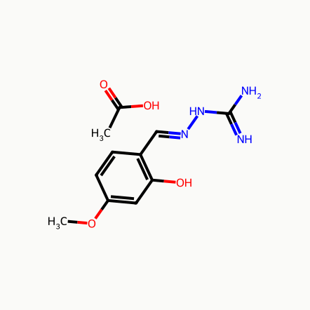 CC(=O)O.COc1ccc(C=NNC(=N)N)c(O)c1